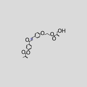 C=C(C)C(=O)Oc1ccc(C(=O)/C=C/c2ccc(OCCCOC(=O)C(=C)CO)cc2)cc1